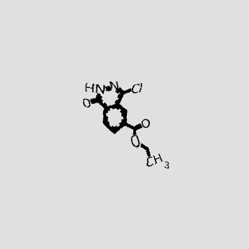 CCOC(=O)c1ccc2c(=O)[nH]nc(Cl)c2c1